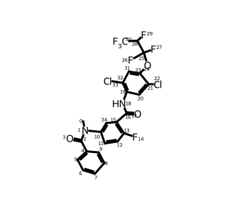 CN(C(=O)c1ccccc1)c1ccc(F)c(C(=O)Nc2cc(Cl)c(OC(F)(F)C(F)C(F)(F)F)cc2Cl)c1